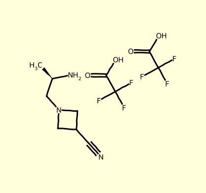 C[C@@H](N)CN1CC(C#N)C1.O=C(O)C(F)(F)F.O=C(O)C(F)(F)F